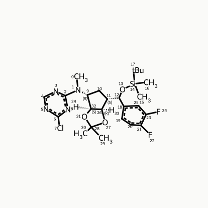 CN(c1ncnc(Cl)n1)[C@@H]1C[C@H](C(O[Si](C)(C)C(C)(C)C)c2ccc(F)c(F)c2)[C@H]2OC(C)(C)O[C@H]21